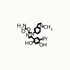 CC(C)c1cc(-c2cnc(OC(N)=O)n2-c2ccc3c(ccn3C)c2)c(O)cc1O